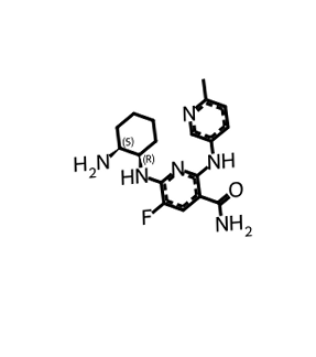 Cc1ccc(Nc2nc(N[C@@H]3CCCC[C@@H]3N)c(F)cc2C(N)=O)cn1